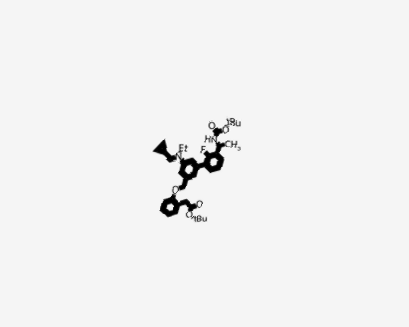 CCN(CC1CC1)c1cc(COc2ccccc2CC(=O)OC(C)(C)C)cc(-c2cccc(C(C)NC(=O)OC(C)(C)C)c2F)c1